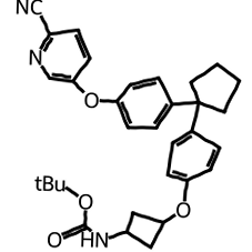 CC(C)(C)OC(=O)NC1CC(Oc2ccc(C3(c4ccc(Oc5ccc(C#N)nc5)cc4)CCCC3)cc2)C1